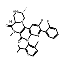 Cc1ccnc(C(C)C)c1-n1c(=O)c2c(c3cc(F)c(-c4ccccc4F)nc31)N1C[C@@H](C)NC[C@@H]1C(=O)N2C